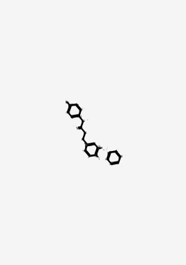 O=C(CCc1ccc(F)c(Oc2ccccc2)c1)Cc1ccc(Cl)cc1